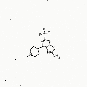 CN1CCC(c2cc(C(F)(F)F)cc3sc(N)nc23)CC1